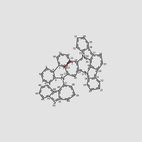 c1ccc(-c2ccccc2N(c2ccc3c(c2)n2c4ccccc4c4ccc5c6ccccc6n3c5c42)c2cccc3sc4ccccc4c23)cc1